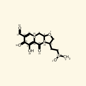 C[S+]([O-])CCC1COC2Cn3cc(C=O)c(=O)c(O)c3C(=O)N12